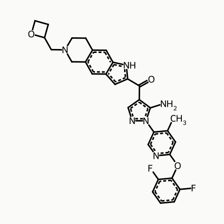 Cc1cc(Oc2c(F)cccc2F)ncc1-n1ncc(C(=O)c2cc3cc4c(cc3[nH]2)CCN(CC2CCO2)C4)c1N